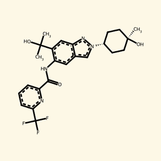 CC(C)(O)c1cc2nn([C@H]3CC[C@](C)(O)CC3)cc2cc1NC(=O)c1cccc(C(F)(F)F)n1